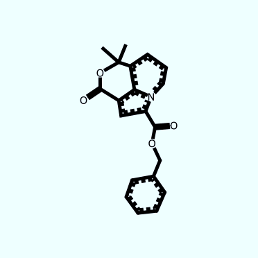 CC1(C)OC(=O)c2cc(C(=O)OCc3ccccc3)n3cccc1c23